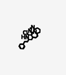 ClC1NC(C=Cc2ccccc2)CC2=CC=C3CCCC4=NC=NC(=C21)N34